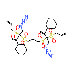 C=CCS(=O)(=O)C(CN=[N+]=[N-])(C(=C)C1CCCCC1)S(=O)(=O)CCCS(=O)(=O)C(CN=[N+]=[N-])(C(=C)C1CCCCC1)S(=O)(=O)CC=C